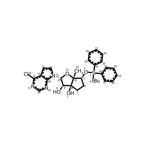 CC(C)(C)[Si](O[C@H]1CC[C@]2(O)[C@@H](O)[C@H](n3ccc4c(Cl)ncnc43)O[C@]12C)(c1ccccc1)c1ccccc1